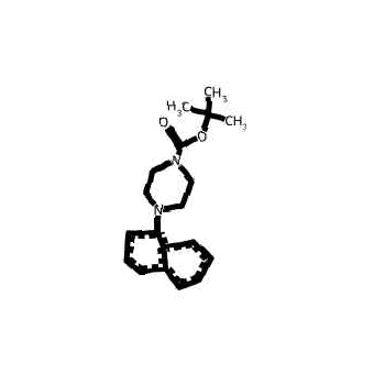 CC(C)(C)OC(=O)N1CCN(c2cccc3ccccc23)CC1